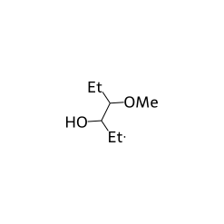 C[CH]C(O)C(CC)OC